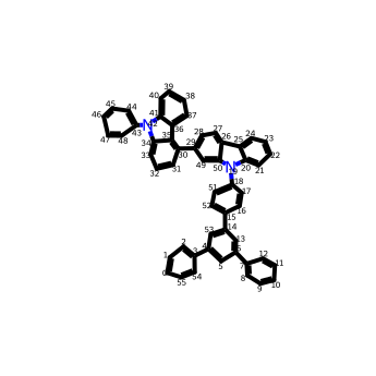 c1ccc(-c2cc(-c3ccccc3)cc(-c3ccc(-n4c5ccccc5c5ccc(-c6cccc7c6c6ccccc6n7-c6ccccc6)cc54)cc3)c2)cc1